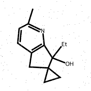 CCC1(O)c2nc(C)ccc2CC12CC2